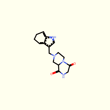 O=C1NCC(=O)N2CCN(Cc3c[nH]c4c3=CCCC=4)CC12